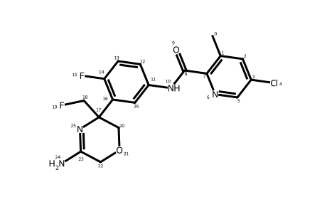 Cc1cc(Cl)cnc1C(=O)Nc1ccc(F)c(C2(CF)COCC(N)=N2)c1